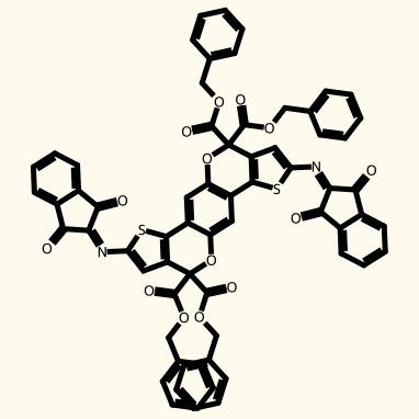 O=C(OCc1ccccc1)C1(C(=O)OCc2ccccc2)Oc2cc3c(cc2-c2sc(N=c4c(=O)c5ccccc5c4=O)cc21)OC(C(=O)OCc1ccccc1)(C(=O)OCc1ccccc1)c1cc(N=c2c(=O)c4ccccc4c2=O)sc1-3